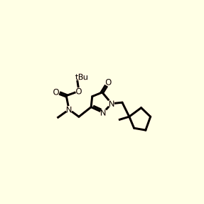 CN(CC1=NN(CC2(C)CCCC2)C(=O)C1)C(=O)OC(C)(C)C